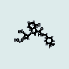 CC(C)(C)C1C(n2cc(C(=O)NCC3CCC(F)(F)CC3)c3c(Cl)cccc32)CN1C(=O)O